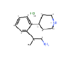 CC(CN)c1ccccc1C1CCNCC1.Cl